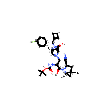 CC(C)(C)OC(=O)NC(CN1C[C@@H]2CC1C(=O)N2[C@H](c1ccc(F)cc1)C1CCC1)C(=O)N1C(C#N)C[C@@H]2C[C@@H]21